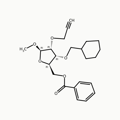 C#CCO[C@H]1[C@H](OC)O[C@H](COC(=O)c2ccccc2)[C@H]1OCC1CCCCC1